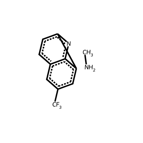 CN.FC(F)(F)c1cc2c3nc-2ccc3c1